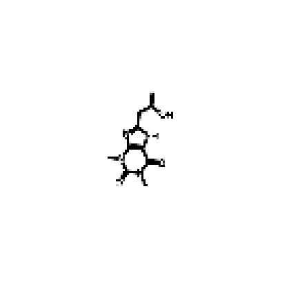 CC(O)Cc1nc2c([nH]1)c(=O)n(C)c(=O)n2C